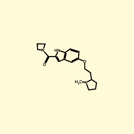 CN1CCCC1CCOc1ccc2[nH]c(C(=O)N3CCC3)cc2c1